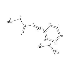 C=CC#N.C=CC(=O)OCCCC.c1ccccc1